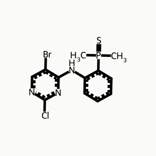 CP(C)(=S)c1ccccc1Nc1nc(Cl)ncc1Br